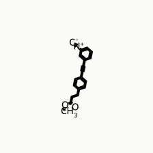 [C-]#[N+]c1cccc(C#Cc2ccc(CCC(=O)OC)cc2)c1